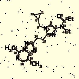 CCC(=O)N(CC)c1cn(CC2CC2)c(CCc2nc3c(C)cnc(C)n3n2)n1